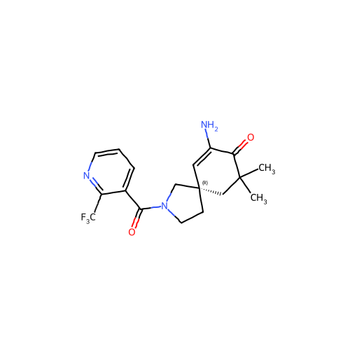 CC1(C)C[C@]2(C=C(N)C1=O)CCN(C(=O)c1cccnc1C(F)(F)F)C2